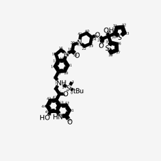 CC(C)(C)[Si](C)(C)OC(CNCc1ccc2c(c1)CCN2C(=O)CN1CCC(OC(=O)C(O)(c2cccs2)c2cccs2)CC1)c1ccc(O)c2[nH]c(=O)ccc12